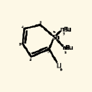 [Li][C]1=CC=C[CH2][Sn]1([CH2]CCC)[CH2]CCC